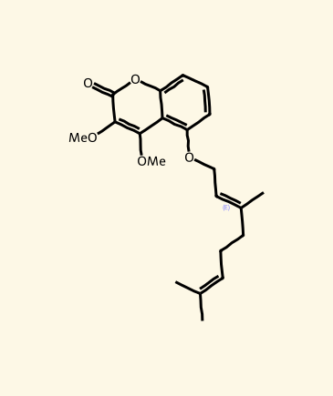 COc1c(OC)c2c(OC/C=C(\C)CCC=C(C)C)cccc2oc1=O